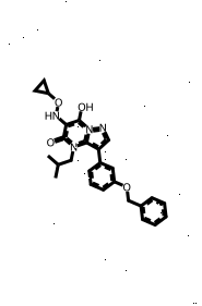 CC(C)Cn1c(=O)c(NOC2CC2)c(O)n2ncc(-c3cccc(OCc4ccccc4)c3)c12